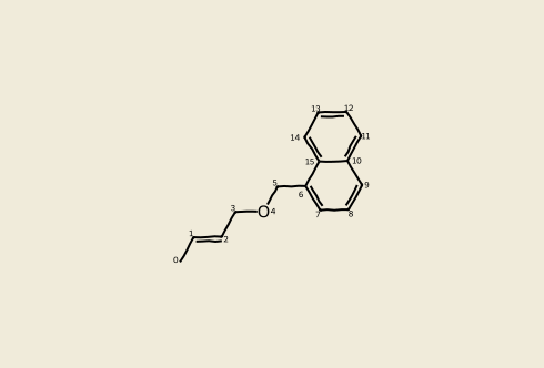 C/C=C/COCc1cccc2ccccc12